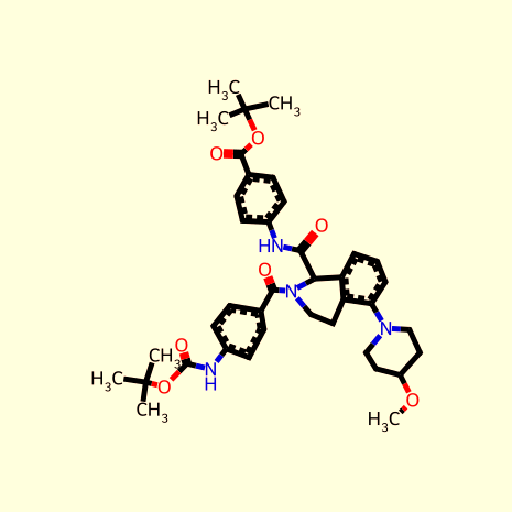 COC1CCN(c2cccc3c2CCN(C(=O)c2ccc(NC(=O)OC(C)(C)C)cc2)C3C(=O)Nc2ccc(C(=O)OC(C)(C)C)cc2)CC1